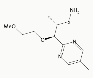 COCCO[C@H](c1ncc(C)cn1)[C@H](C)SN